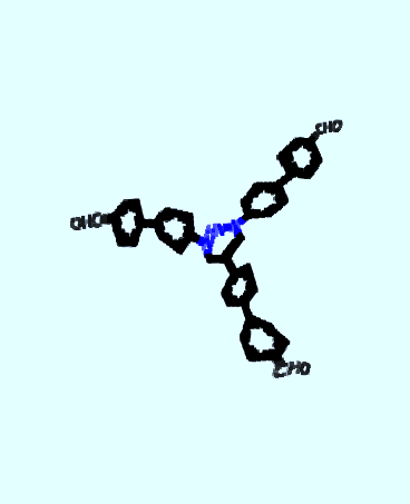 O=Cc1ccc(-c2ccc(C3=CN(c4ccc(-c5ccc(C=O)cc5)cc4)NN(c4ccc(-c5ccc(C=O)cc5)cc4)C3)cc2)cc1